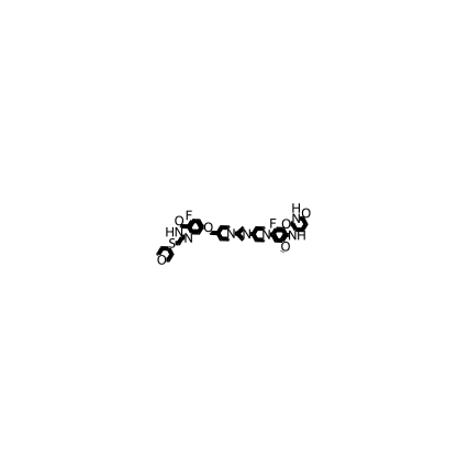 COc1cc(N2CCC(N3CC(N4CCC(COc5cc(F)c6c(=O)[nH]c(CSC7CCOCC7)nc6c5)CC4)C3)CC2)c(F)cc1NC1CCC(=O)NC1=O